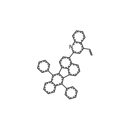 C=Cc1cc(-c2ccc3c4c(cccc24)-c2c-3c(-c3ccccc3)c3ccccc3c2-c2ccccc2)nc2ccccc12